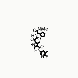 CNC(=O)C(NC(=O)C(=O)c1c(C)c(C(=O)Nc2cnc(F)c(C)c2)c(C)n1C)C1CCCC1